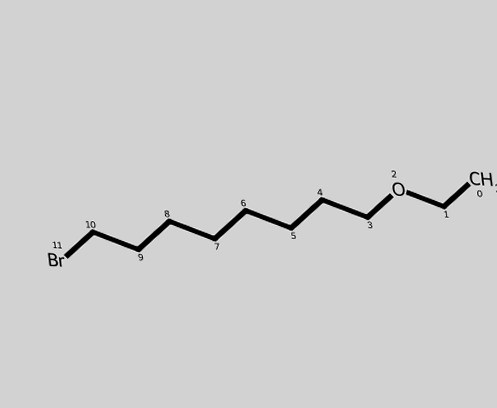 CCOCCCCCCCCBr